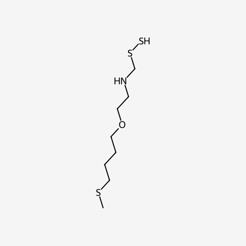 CSCCCCOCCNCSS